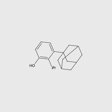 CC(C)c1c(O)cccc1C12CC3CC(CC(C3)C1)C2